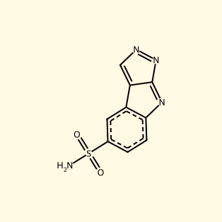 NS(=O)(=O)c1ccc2c(c1)C1=CN=NC1=N2